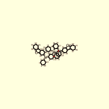 c1ccc(N(c2cccc([Si](c3ccccc3)(c3ccccc3)c3ccccc3N(c3ccccc3)c3ccc4c(c3)oc3ccccc34)c2)c2ccc3c(c2)oc2ccccc23)cc1